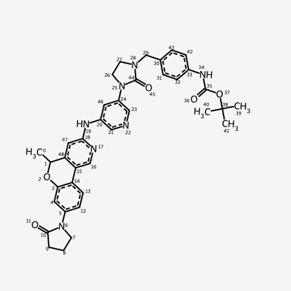 CC1Oc2cc(N3CCCC3=O)ccc2-c2cnc(Nc3cncc(N4CCN(Cc5ccc(NC(=O)OC(C)(C)C)cc5)C4=O)c3)cc21